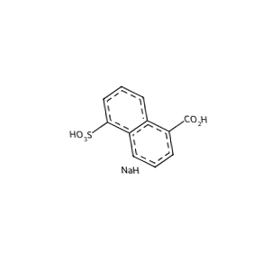 O=C(O)c1cccc2c(S(=O)(=O)O)cccc12.[NaH]